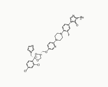 CC[C@H](C)n1ncn(-c2ccc(N3CCN(c4ccc(OC[C@@H]5CO[C@@](Cn6ccnc6)(c6ccc(Cl)cc6Cl)O5)cn4)CC3)c(F)c2)c1=O